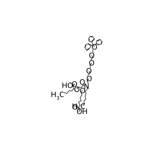 CCCCCCCCN(CCOCCOCCOCCOCCOC(c1ccccc1)(c1ccccc1)c1ccccc1)C(=O)C(COC(CCCCC)C(=O)O)OCCCCCCC(=O)O